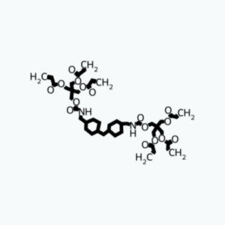 C=CC(=O)OCC(COC(=O)C=C)(COC(=O)C=C)COC(=O)NCC1CCC(CC2CCC(CNC(=O)OCC(COC(=O)C=C)(COC(=O)C=C)COC(=O)C=C)CC2)CC1